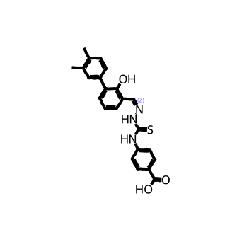 Cc1ccc(-c2cccc(/C=N\NC(=S)Nc3ccc(C(=O)O)cc3)c2O)cc1C